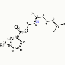 CC(C)=CCC/C(C)=C/COC(=O)c1cccc(Br)n1